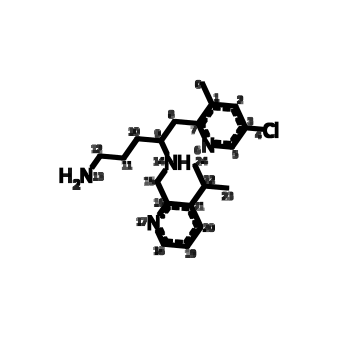 Cc1cc(Cl)cnc1CC(CCCN)NCc1ncccc1C(C)C